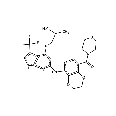 CC(C)CNc1cc(Nc2ccc(C(=O)N3CCOCC3)c3c2OCCO3)nc2[nH]cc(C(F)(F)F)c12